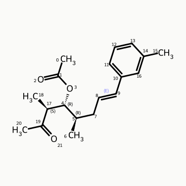 CC(=O)O[C@H]([C@H](C)C/C=C/c1cccc(C)c1)[C@H](C)C(C)=O